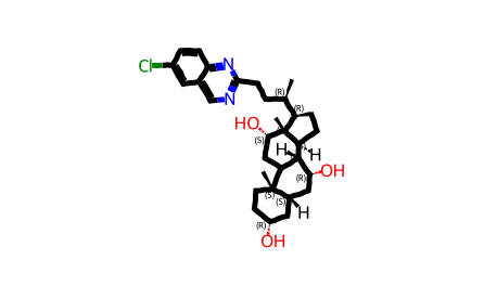 C[C@H](CCc1ncc2cc(Cl)ccc2n1)[C@H]1CC[C@H]2[C@H]3C(C[C@H](O)[C@]12C)[C@@]1(C)CC[C@@H](O)C[C@H]1C[C@H]3O